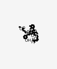 CCOC(=O)CCCNC(Cn1c(=O)c2c(n(Cc3c(C)cccc3F)c1=O)COC21CCN(Cc2ccc(C(F)(F)F)o2)CC1)c1cccc(O)c1